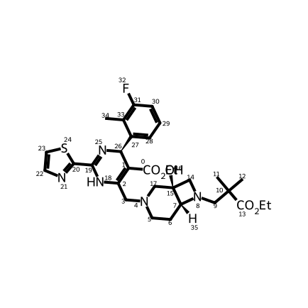 CCOC(=O)C1=C(CN2CC[C@H]3N(CC(C)(C)C(=O)OCC)C[C@@]3(O)C2)NC(c2nccs2)=N[C@H]1c1cccc(F)c1C